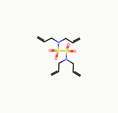 C=CCN(CC=C)S(=O)(=O)S(=O)(=O)N(CC=C)CC=C